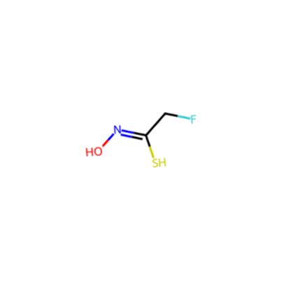 ON=C(S)CF